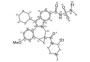 CCC1CN(C)CCN1C(=O)C12CC1c1cc(OC)ccc1-c1c(C3CCCCC3)c3ccc(C(=O)NS(=O)(=O)N(C)CC)cc3n1C2